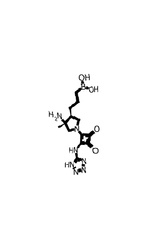 C[C@]1(N)CN(c2c(Nc3nnn[nH]3)c(=O)c2=O)C[C@@H]1CCCB(O)O